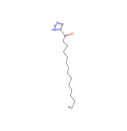 CCCCCCCCCCCCCC(=O)c1cnc[nH]1